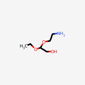 CCOC(CO)OCCN